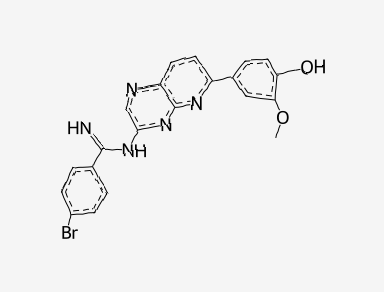 COc1cc(-c2ccc3ncc(NC(=N)c4ccc(Br)cc4)nc3n2)ccc1O